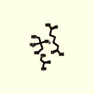 CC(C)(CO)CO.O=C(O)CCCCC(=O)O.O=C(O)CO